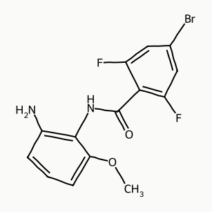 COc1cccc(N)c1NC(=O)c1c(F)cc(Br)cc1F